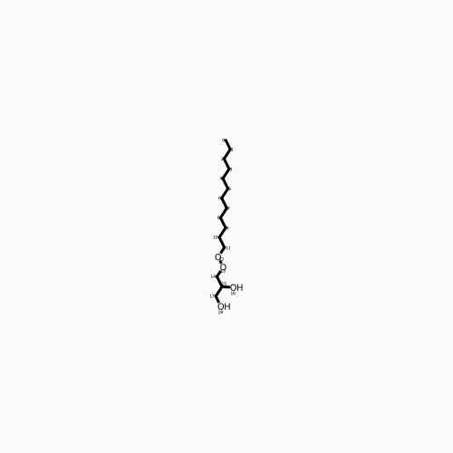 CCCCCCCCCCCCOOCC(O)CO